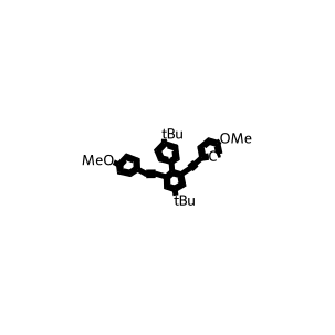 COc1ccc(C#Cc2cc(C(C)(C)C)cc(C#Cc3ccc(OC)cc3)c2-c2ccc(C(C)(C)C)cc2)cc1